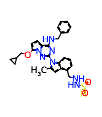 Cc1cc2c(CNN[SH](=O)=O)cccc2n1-c1nc(NCc2ccccc2)c2ccc(OCC3CC3)n2n1